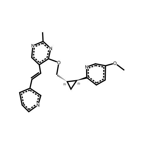 COc1ccc([C@H]2C[C@@H]2COc2nc(C)ncc2C=Cc2cccnc2)nc1